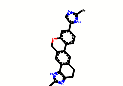 Cc1nc2c([nH]1)-c1cc3c(cc1CC2)-c1ccc(-c2cnc(C(C)C)[nH]2)cc1OC3